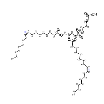 CCCCCCCC/C=C\CCCCCCCC(=O)OC[C@H](COP(=O)(O)OCCN=CC(=O)O)OC(=O)CCCCCCC/C=C\CCCCCCCC